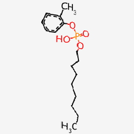 CCCCCCCCCOP(=O)(O)Oc1ccccc1C